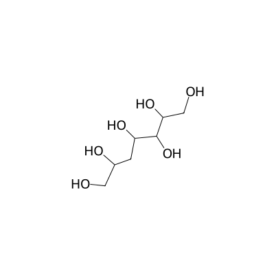 OCC(O)CC(O)C(O)C(O)CO